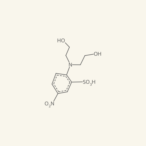 O=[N+]([O-])c1ccc(N(CCO)CCO)c(S(=O)(=O)O)c1